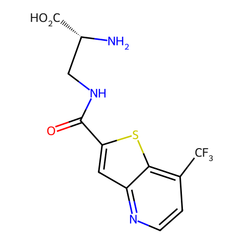 N[C@H](CNC(=O)c1cc2nccc(C(F)(F)F)c2s1)C(=O)O